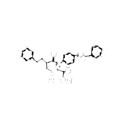 O=C(O)CN(C(=O)C(CS)CCc1ccccc1)c1ccc(OCc2ccccc2)cc1